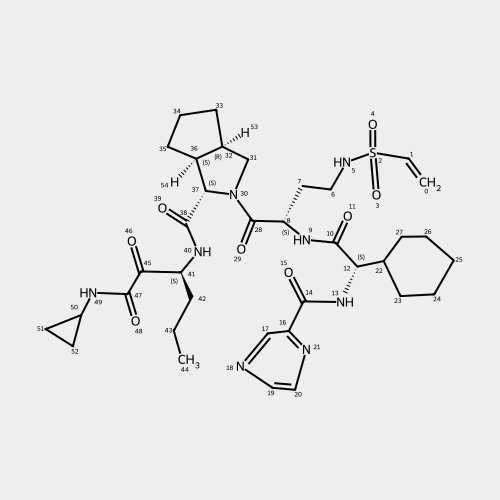 C=CS(=O)(=O)NCC[C@H](NC(=O)[C@@H](NC(=O)c1cnccn1)C1CCCCC1)C(=O)N1C[C@@H]2CCC[C@@H]2[C@H]1C(=O)N[C@@H](CCC)C(=O)C(=O)NC1CC1